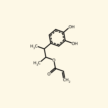 C=CC(=O)OC(C)C(C)c1ccc(O)c(O)c1